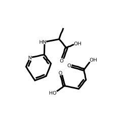 CC(Nc1ccccn1)C(=O)O.O=C(O)/C=C\C(=O)O